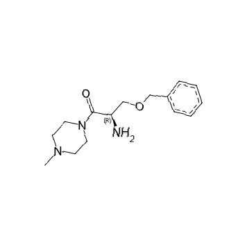 CN1CCN(C(=O)[C@H](N)COCc2ccccc2)CC1